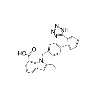 CCc1cc2cccc(C(=O)O)c2n1Cc1ccc(-c2ccccc2-c2nnn[nH]2)cc1